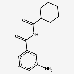 Nc1c[c]cc(C(=O)NC(=O)C2CCCCC2)c1